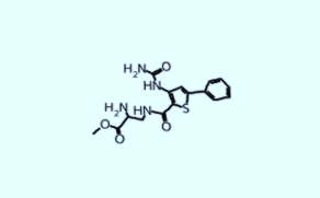 COC(=O)C(N)CNC(=O)c1sc(-c2ccccc2)cc1NC(N)=O